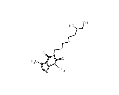 Cn1cnc2c1c(=O)n(CCCCCCC(O)CO)c(=O)n2C